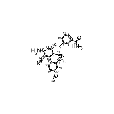 CNC(=O)c1cc(CSc2nc(N)c(C#N)c(-c3ccc(OC)cc3OC)c2C#N)ccn1